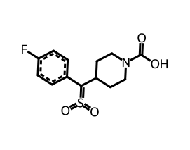 O=C(O)N1CCC(C(c2ccc(F)cc2)=S(=O)=O)CC1